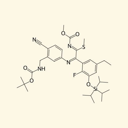 CCc1cc(O[Si](C(C)C)(C(C)C)C(C)C)c(F)c(C(=Nc2ccc(C#N)c(CNC(=O)OC(C)(C)C)c2)C(=NC(=O)OC)SC)c1